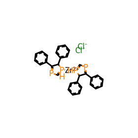 C1=[PH]([Zr+2][PH]2=CP=C(c3ccccc3)C2c2ccccc2)C(c2ccccc2)C(c2ccccc2)=P1.[Cl-].[Cl-]